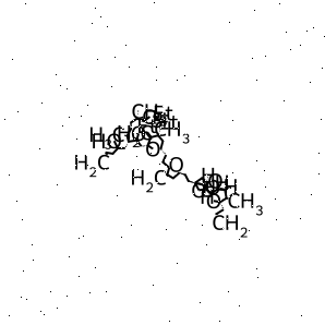 C=CCC(O)C[C@H]1C(C[C@H]2O[C@@H](CCC3O[C@@H](CC[C@@]45C[C@H]6O[C@@H]7[C@@H](O[C@@H](CC=C)[C@H](C)[C@@H]7O4)[C@H]6O5)CC3=C)C[C@@H](C)C2=C)O[C@H](C[C@H](C)CO[Si](CC)(CC)CC)[C@@H]1C